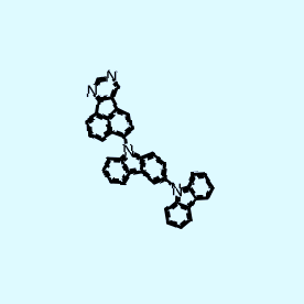 c1cc2c3c(ccc(-n4c5ccccc5c5cc(-n6c7ccccc7c7ccccc76)ccc54)c3c1)-c1cncnc1-2